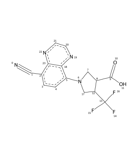 N#Cc1ccc(N2CC(C(=O)O)C(C(F)(F)F)C2)c2nccnc12